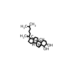 CC(C)CCCC(C)[C@H]1CC[C@H]2[C@@H]3CC=C4[C@@H](O)[C@@H](O)CC[C@]4(C)[C@H]3CC[C@]12C